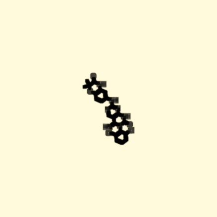 CC1(C)Oc2ccc(Nc3ncc4c(=N)n(-c5c(Cl)cccc5Cl)c(=O)[nH]c4n3)cc2NC1=O